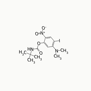 CN(C)c1cc(OC(=O)NC(C)(C)C)c([N+](=O)[O-])cc1I